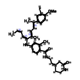 C\C=C/N=C(Nc1ccc(C(=O)NCCN2CCNC(=O)C2)c(C)c1)\C(C)=N\C=C(/C)c1ccc(OC)c(F)c1